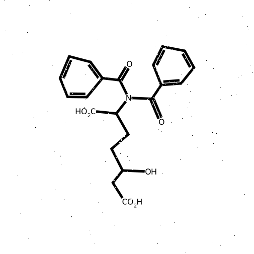 O=C(O)CC(O)CCC(C(=O)O)N(C(=O)c1ccccc1)C(=O)c1ccccc1